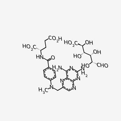 CN(Cc1cnc2nc(N)nc(N)c2n1)c1ccc(C(=O)N[C@@H](CCC(=O)O)C(=O)O)cc1.O=C[C@H](O)[C@@H](O)[C@H](O)[C@H](O)C(=O)O